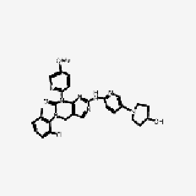 COc1ccc(N2C(=O)N(c3c(C)cccc3Cl)Cc3cnc(Nc4ccc(N5CCC(O)CC5)cn4)nc32)nc1